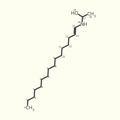 CCCCCCCCCCCCCCC=CNC(C)O